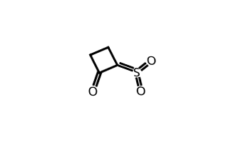 O=C1CCC1=S(=O)=O